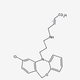 O=C(O)/C=C/CNCCCN1c2cc(Cl)ccc2COc2ccccc21